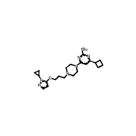 CC(C)(C)c1nc(C2CCC2)cc(N2CCN(CCCOc3ccnn3C3CC3)CC2)n1